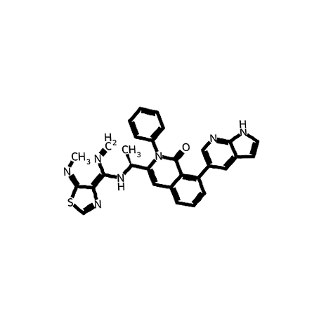 C=N/C(N[C@@H](C)c1cc2cccc(-c3cnc4[nH]ccc4c3)c2c(=O)n1-c1ccccc1)=C1/N=CS/C1=N/C